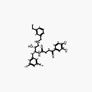 CCc1cccc(CNC[C@@H](O)[C@H](Cc2cc(F)cc(F)c2)NC(=O)CCC(=O)c2ccc(Cl)c(Cl)c2)c1